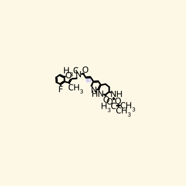 Cc1c(CN(C)C(=O)/C=C/c2cnc3c(c2)CCC(NC(=O)OC(C)(C)C)C(=O)N3)oc2cccc(F)c12